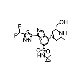 C[C@H]1CN(c2cc(S(=O)(=O)NC3(C)CC3)cn3c(-c4nnc(C(F)F)s4)ncc23)C[C@H](CO)N1